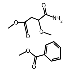 COC(=O)CC(OC)C(N)=O.COC(=O)c1ccccc1